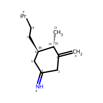 C=C1CC(=N)C[C@@H](CCC(C)C)[C@@H]1C